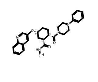 O=C(NO)[C@H]1C[C@H](Oc2cnc3ccccc3c2)CC[C@@H]1C(=O)N1CCN(c2ccccc2)CC1